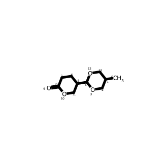 CC1COC(C2CCC(=O)OC2)OC1